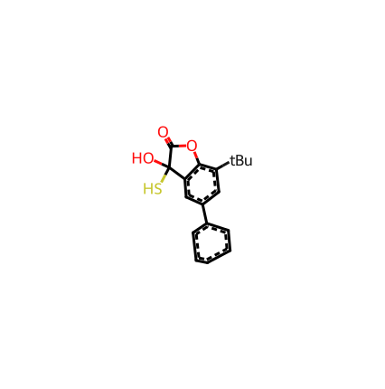 CC(C)(C)c1cc(-c2ccccc2)cc2c1OC(=O)C2(O)S